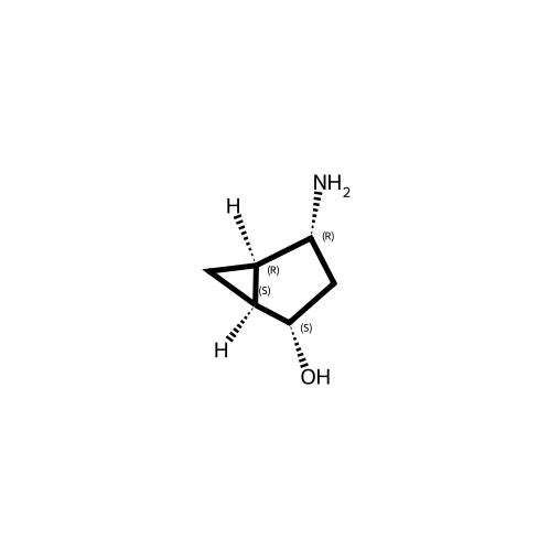 N[C@@H]1C[C@H](O)[C@H]2C[C@H]21